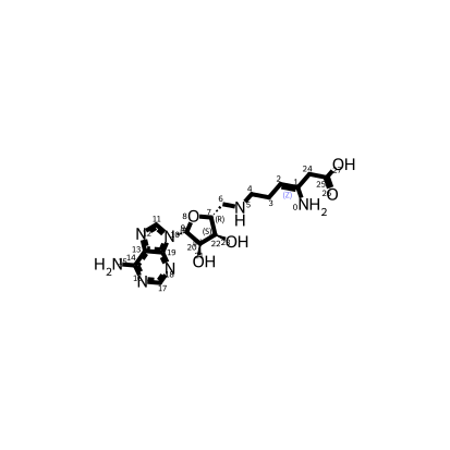 N/C(=C\CCNC[C@H]1O[C@@H](n2cnc3c(N)ncnc32)[C@H](O)[C@@H]1O)CC(=O)O